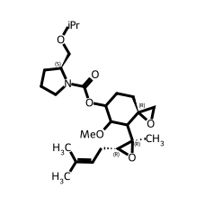 COC1C(OC(=O)N2CCC[C@H]2COC(C)C)CC[C@]2(CO2)C1[C@@]1(C)O[C@@H]1CC=C(C)C